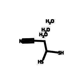 N#CCC(S)S.O.O.O